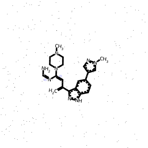 C=C(/C=C(\N=C/N)N1CCN(C)CC1)c1n[nH]c2ccc(-c3cnn(C)c3)cc12